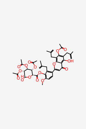 C=C(C)Cc1c(-c2cc(=O)c3c(O)c(CC(=C)C)c(OC(C)=O)c(CC(=C)C)c3o2)ccc(OC)c1OC(=O)[C@H]1O[C@@H](O)[C@H](OC(C)=O)[C@@H](OC(C)=O)[C@@H]1OC(C)=O